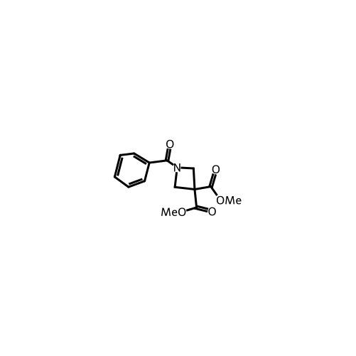 COC(=O)C1(C(=O)OC)CN(C(=O)c2ccccc2)C1